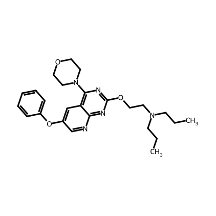 CCCN(CCC)CCOc1nc(N2CCOCC2)c2cc(Oc3ccccc3)cnc2n1